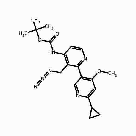 COc1cc(C2CC2)ncc1-c1nccc(NC(=O)OC(C)(C)C)c1CN=[N+]=[N-]